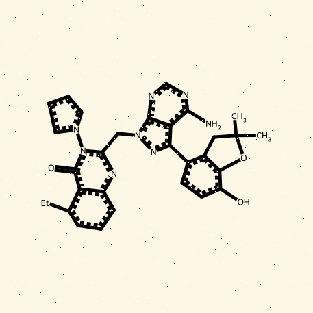 CCc1cccc2nc(Cn3nc(-c4ccc(O)c5c4CC(C)(C)O5)c4c(N)ncnc43)n(-n3cccc3)c(=O)c12